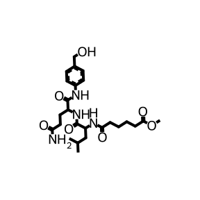 COC(=O)CCCCC(=O)NC(CC(C)C)C(=O)NC(CCC(N)=O)C(=O)Nc1ccc(CO)cc1